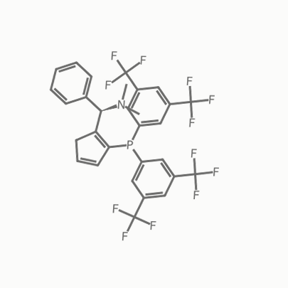 CN(C)[C@@H](C1=C(P(c2cc(C(F)(F)F)cc(C(F)(F)F)c2)c2cc(C(F)(F)F)cc(C(F)(F)F)c2)C=CC1)c1ccccc1